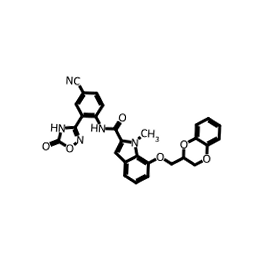 Cn1c(C(=O)Nc2ccc(C#N)cc2-c2noc(=O)[nH]2)cc2cccc(OCC3COc4ccccc4O3)c21